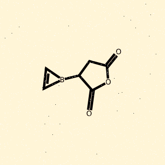 O=C1CC(B2C=C2)C(=O)O1